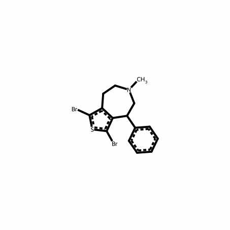 CN1CCc2c(Br)sc(Br)c2C(c2ccccc2)C1